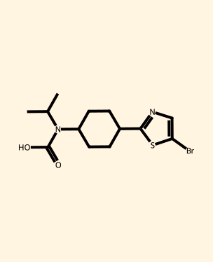 CC(C)N(C(=O)O)C1CCC(c2ncc(Br)s2)CC1